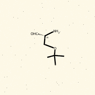 CC(C)(C)OC[C@@H](N)C=O